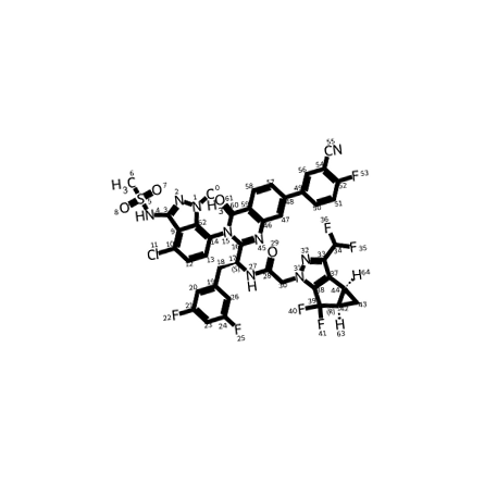 Cn1nc(NS(C)(=O)=O)c2c(Cl)ccc(-n3c([C@H](Cc4cc(F)cc(F)c4)NC(=O)Cn4nc(C(F)F)c5c4C(F)(F)[C@@H]4C[C@H]54)nc4cc(-c5ccc(F)c(C#N)c5)ccc4c3=O)c21